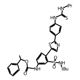 CC(C)NC(=S)Nc1ccc(-c2ncc(-c3ccc(NC(=O)OC(C)c4ccccc4)cc3S(=O)(=O)NC(C)(C)C)s2)cc1